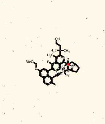 COCOc1cc(-c2ncc3c(N4CC5CCC(C4)N5C(=O)OC(C)(C)C)nc(C(C)(C)CCO)c(C)c3c2F)c2c(C#C[Si](C(C)C)(C(C)C)C(C)C)c(F)ccc2c1